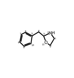 [CH]1CNC(Cc2ccccc2)O1